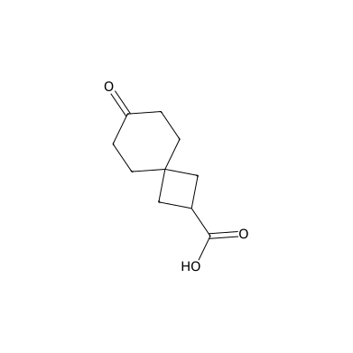 O=C1CCC2(CC1)CC(C(=O)O)C2